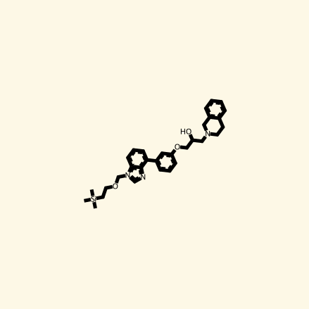 C[Si](C)(C)CCOCn1cnc2c(-c3cccc(OCC(O)CN4CCc5ccccc5C4)c3)cccc21